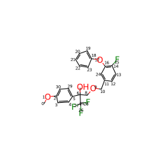 COc1ccc(C(O)(COCc2ccc(F)c(Oc3ccccc3)c2)C(F)(F)F)cc1